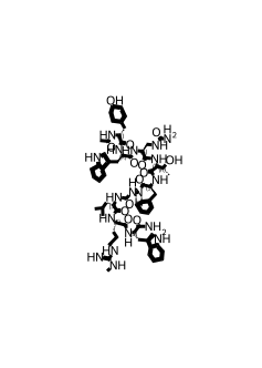 CNC(=N)NCCC[C@H](NC(=O)[C@H](CC(C)C)NC(=O)NNC(=O)[C@H](Cc1ccccc1)NC(=O)[C@@H](NC(=O)[C@H](CNC(N)=O)NC(=O)[C@@H](Cc1c[nH]c2ccccc12)NC(=O)[C@@H](Cc1ccc(O)cc1)NC(C)=O)[C@@H](C)O)C(=O)N[C@@H](Cc1c[nH]c2ccccc12)C(N)=O